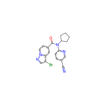 N#Cc1ccc(N(C(=O)c2ccn3ncc(Br)c3c2)C2CCCC2)nc1